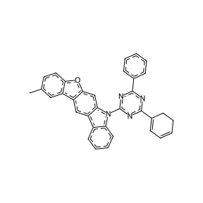 Cc1ccc2oc3cc4c(cc3c2c1)c1ccccc1n4-c1nc(C2=CC=CCC2)nc(-c2ccccc2)n1